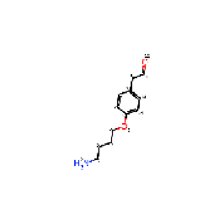 NCCCCOc1ccc(CC=O)cc1